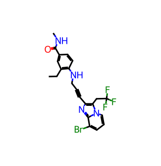 CCc1cc(C(=O)NC)ccc1NCC#Cc1nc2c(Br)cccn2c1CC(F)(F)F